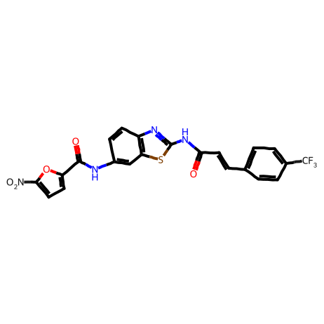 O=C(C=Cc1ccc(C(F)(F)F)cc1)Nc1nc2ccc(NC(=O)c3ccc([N+](=O)[O-])o3)cc2s1